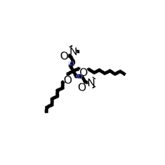 CCCCCCCCOCC(/C=C/C(=O)N(C)C)(/C=C/C(=O)N(C)C)COCCCCCCCC